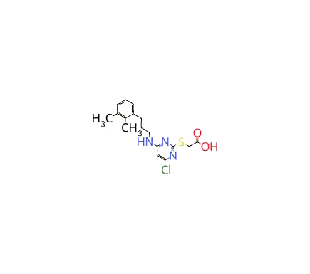 Cc1cccc(CCCNc2cc(Cl)nc(SCC(=O)O)n2)c1C